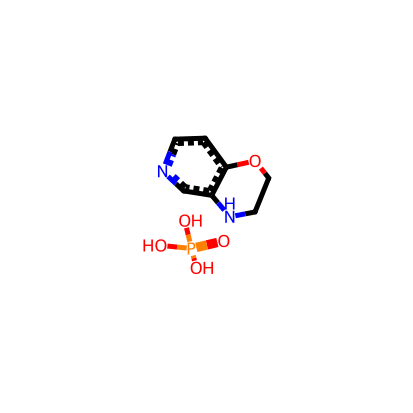 O=P(O)(O)O.c1cc2c(cn1)NCCO2